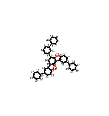 c1ccc(-c2cccc(-c3cc4c5cc(-c6ccccc6)ccc5oc4c4c3oc3ccc(-c5ccccc5)cc34)c2)cc1